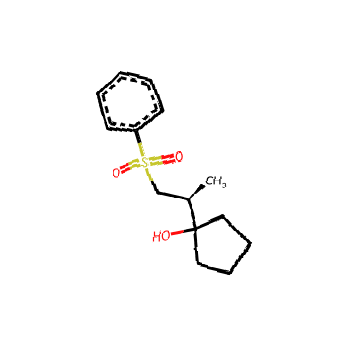 C[C@H](CS(=O)(=O)c1ccccc1)C1(O)CCCC1